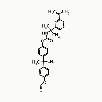 C=C(C)c1cccc(C(C)(C)NC(=O)Oc2ccc(C(C)(C)c3ccc(OC=O)cc3)cc2)c1